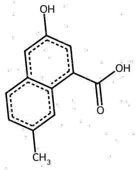 Cc1ccc2cc(O)cc(C(=O)O)c2c1